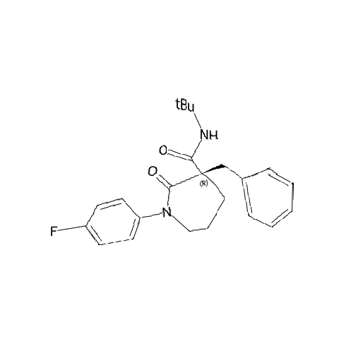 CC(C)(C)NC(=O)[C@]1(Cc2ccccc2)CCCN(c2ccc(F)cc2)C1=O